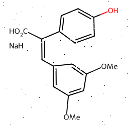 COc1cc(/C=C(/C(=O)O)c2ccc(O)cc2)cc(OC)c1.[NaH]